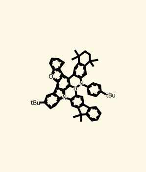 CC(C)(C)c1ccc(N2B3c4cc5c(cc4-n4c6ccc(C(C)(C)C)cc6c6c7oc8ccccc8c7c(c3c64)-c3cc4c(cc32)C(C)(C)CCC4(C)C)C(C)(C)c2ccccc2-5)cc1